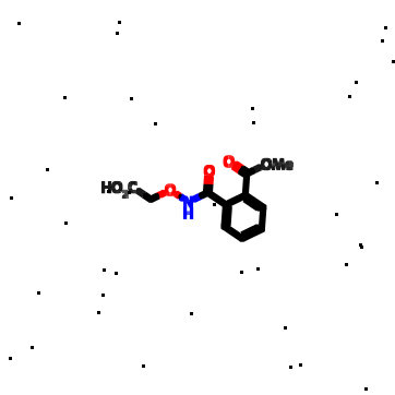 COC(=O)c1ccccc1C(=O)NOCC(=O)O